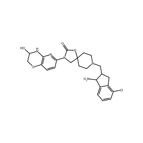 NC1c2cccc(Cl)c2CC1CN1CCC2(CC1)CN(c1ccc3c(n1)NC(O)CO3)C(=O)O2